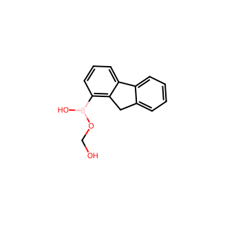 OCOB(O)c1cccc2c1Cc1ccccc1-2